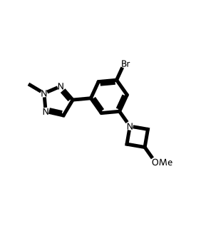 COC1CN(c2cc(Br)cc(-c3cnn(C)n3)c2)C1